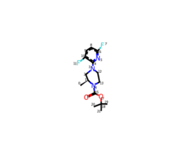 C[C@H]1CN(c2nc(F)ccc2F)CCN1C(=O)OC(C)(C)C